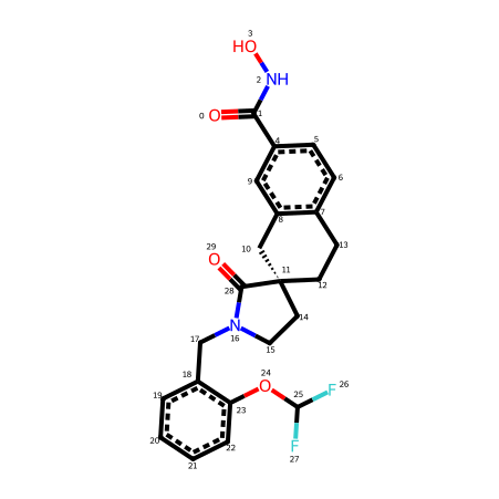 O=C(NO)c1ccc2c(c1)C[C@]1(CC2)CCN(Cc2ccccc2OC(F)F)C1=O